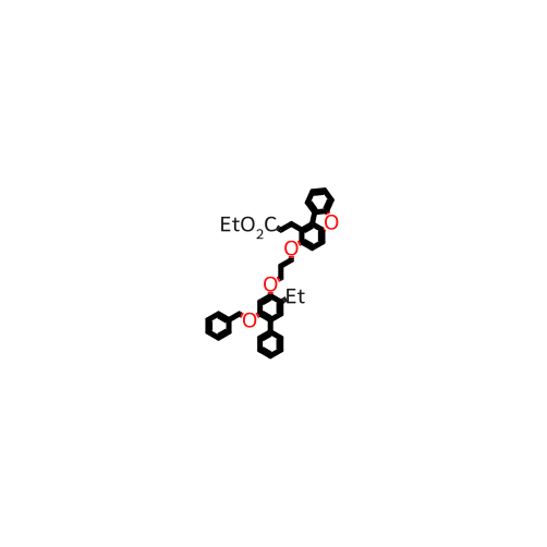 CCOC(=O)CCc1c(OCCCOc2cc(OCc3ccccc3)c(-c3ccccc3)cc2CC)ccc2oc3ccccc3c12